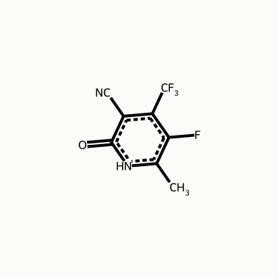 Cc1[nH]c(=O)c(C#N)c(C(F)(F)F)c1F